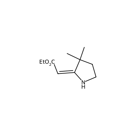 CCOC(=O)C=C1NCCC1(C)C